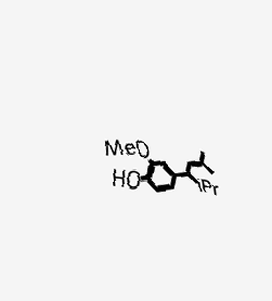 COc1cc(C(C=C(C)C)C(C)C)ccc1O